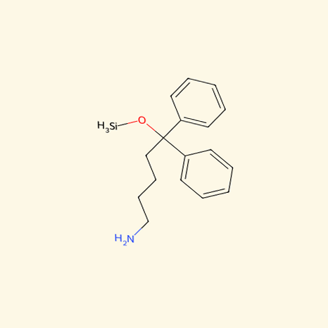 NCCCCC(O[SiH3])(c1ccccc1)c1ccccc1